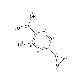 O=C(O)c1ccc(C2CO2)cc1O